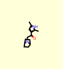 Cc1cc(C(=O)CN2C3CCC2CC3)c(C)[nH]1